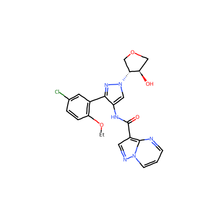 CCOc1ccc(Cl)cc1-c1nn([C@@H]2COC[C@H]2O)cc1NC(=O)c1cnn2cccnc12